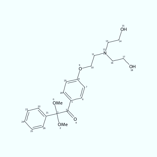 COC(OC)(C(=O)c1ccc(OCCN(CCO)CCO)cc1)c1ccccc1